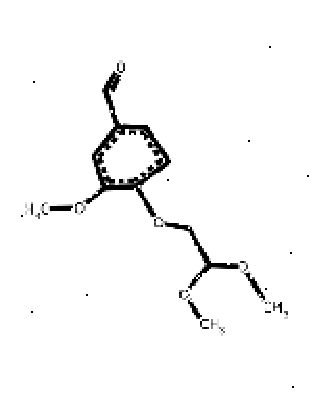 COc1cc(C=O)ccc1OCC(OC)OC